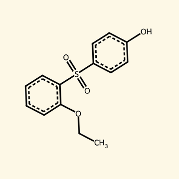 CCOc1ccccc1S(=O)(=O)c1ccc(O)cc1